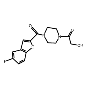 O=C(CO)N1CCN(C(=O)c2cc3cc(F)ccc3o2)CC1